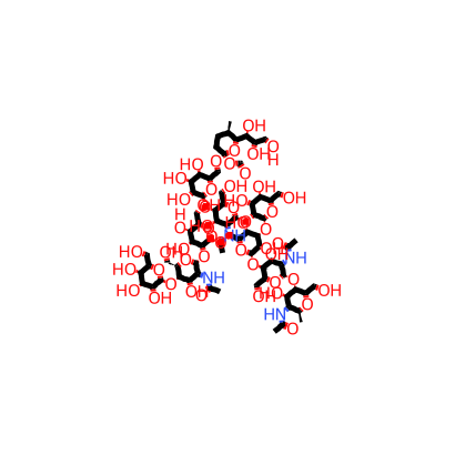 CC(=O)NC1C(O)[C@H](O[C@@H]2OC(CO)[C@H](O)[C@H](O)C2O)[C@H](CO)O[C@H]1OC1[C@@H](OCC2O[C@@H](O[C@@H]3C(CO)O[C@@H](O[C@@H]4C(CO)O[C@@H](C)C(NC(C)=O)[C@H]4O)C(NC(C)=O)[C@H]3O)C(O)[C@@H](O[C@H]3OC(CO)[C@@H](O)C(O)C3O[C@@H]3OC(CO)[C@@H](O[C@@H]4OC(CO[C@]5(OC=O)CC[C@@H](C)C([C@H](O)C(O)CO)O5)[C@H](O)[C@H](O)C4O)[C@H](O)C3NC(C)=O)[C@@H]2O)OC(CO)[C@@H](O)[C@@H]1O